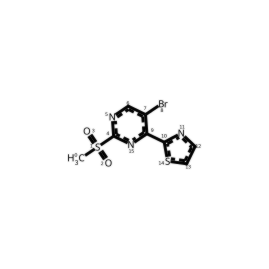 CS(=O)(=O)c1ncc(Br)c(-c2nccs2)n1